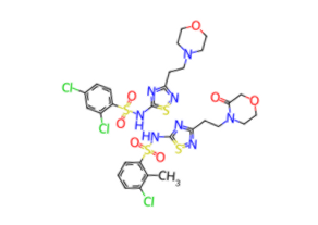 Cc1c(Cl)cccc1S(=O)(=O)Nc1nc(CCN2CCOCC2=O)ns1.O=S(=O)(Nc1nc(CCN2CCOCC2)ns1)c1ccc(Cl)cc1Cl